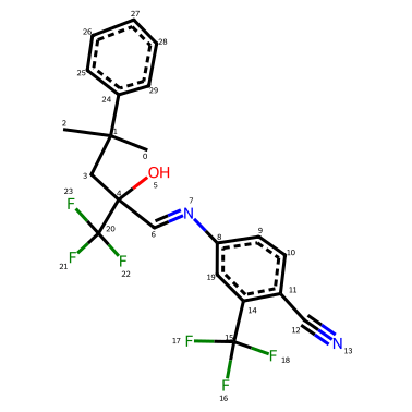 CC(C)(CC(O)(C=Nc1ccc(C#N)c(C(F)(F)F)c1)C(F)(F)F)c1ccccc1